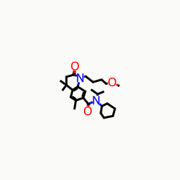 COCCCCN1C(=O)CC(C)(C)c2cc(C)c(C(=O)N(C(C)C)C3CCCCC3)cc21